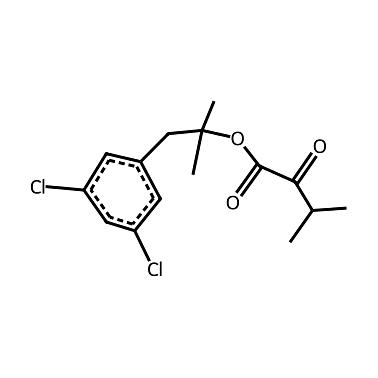 CC(C)C(=O)C(=O)OC(C)(C)Cc1cc(Cl)cc(Cl)c1